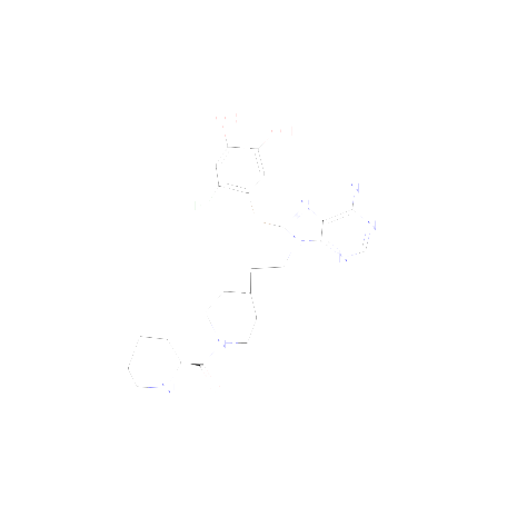 Nc1ncnc2c1nc(Sc1cc(O)c(O)cc1Br)n2CCC1CCN(C(=O)[C@@H]2CCCCN2)CC1